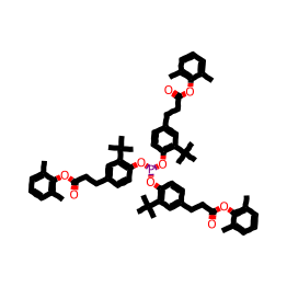 Cc1cccc(C)c1OC(=O)CCc1ccc(OP(Oc2ccc(CCC(=O)Oc3c(C)cccc3C)cc2C(C)(C)C)Oc2ccc(CCC(=O)Oc3c(C)cccc3C)cc2C(C)(C)C)c(C(C)(C)C)c1